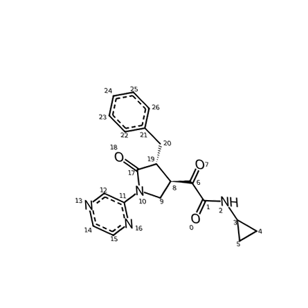 O=C(NC1CC1)C(=O)[C@H]1CN(c2cnccn2)C(=O)[C@@H]1Cc1ccccc1